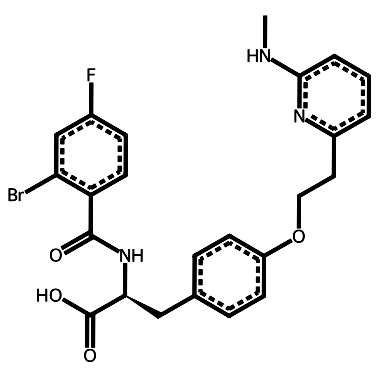 CNc1cccc(CCOc2ccc(C[C@H](NC(=O)c3ccc(F)cc3Br)C(=O)O)cc2)n1